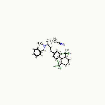 CC#N.CC(CCc1ccc(C2C(C(F)(F)F)CCCC2C(F)(F)F)cc1)N(C)Cc1ccccc1